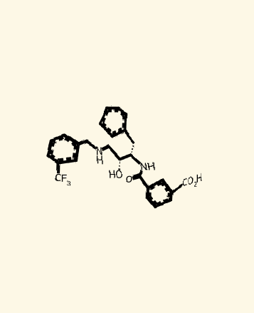 O=C(O)c1cccc(C(=O)N[C@@H](Cc2ccccc2)[C@H](O)CNCc2cccc(C(F)(F)F)c2)c1